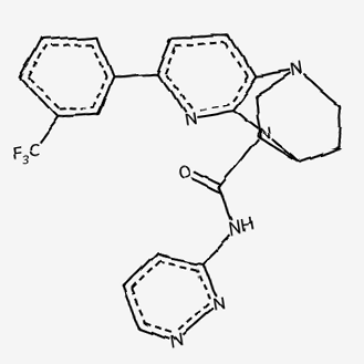 O=C(Nc1cccnn1)N1c2nc(-c3cccc(C(F)(F)F)c3)ccc2N2CCC1CC2